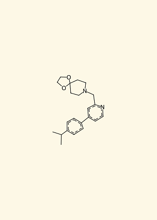 CC(C)c1ccc(-c2ccnc(CN3CCC4(CC3)OCCO4)c2)cc1